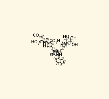 CC1C(O)C(O)C(CO)OC1n1cc(CCCC(=O)NC(Cc2ccc3ccccc3c2)C(=O)NCCCCC(NC(=O)NC(CCC(=O)O)C(=O)O)C(=O)O)nn1